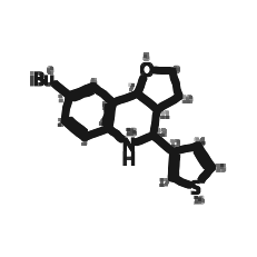 CCC(C)c1ccc2c(c1)C1OCCC1C(c1ccsc1)N2